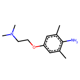 Cc1cc(OCCN(C)C)cc(C)c1N